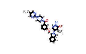 O=C(c1cccc(OC[C@H]2c3ccccc3CN2c2cn[nH]c(=O)c2C(F)(F)F)c1)N1CCN(c2ncc(C(F)(F)F)cn2)CC1